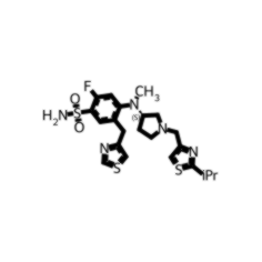 CC(C)c1nc(CN2CC[C@H](N(C)c3cc(F)c(S(N)(=O)=O)cc3Cc3cscn3)C2)cs1